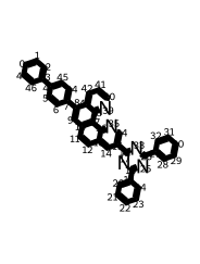 c1ccc(-c2ccc(-c3cc4ccc5cc(-c6nc(-c7ccccc7)nc(-c7ccccc7)n6)cnc5c4c4ncccc34)cc2)cc1